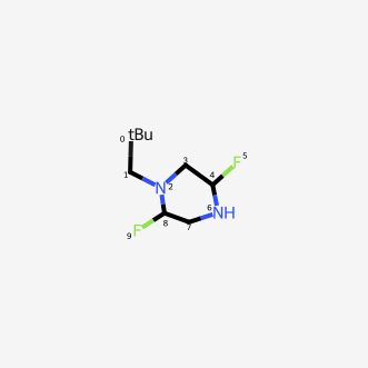 CC(C)(C)CN1CC(F)NCC1F